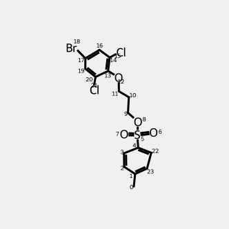 Cc1ccc(S(=O)(=O)OCCCOc2c(Cl)cc(Br)cc2Cl)cc1